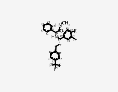 CNC(=O)[C@@H](N[C@@H](CCc1ccc(C(F)(F)F)cc1)c1ccc(F)c(F)c1)c1ccccc1